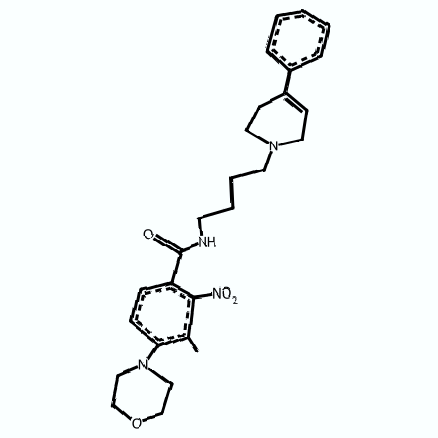 Cc1c(N2CCOCC2)ccc(C(=O)NCCCCN2CC=C(c3ccccc3)CC2)c1[N+](=O)[O-]